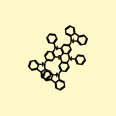 c1ccc(N2c3ccc(-n4c5ccccc5c5ccccc54)cc3B3c4cc(-n5c6ccccc6c6ccccc65)ccc4N(c4ccccc4)c4cc(-n5c6ccccc6c6ccccc65)cc2c43)cc1